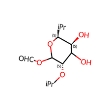 CC(C)O[C@@H]1C(OC=O)O[C@@H](C(C)C)[C@@H](O)C1O